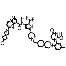 Cc1ccc(N2CCC3(CCC(CN4CCC(n5cc(NC(=O)c6cnn7ccc(N8CC9(CC(=O)C9)C8)nc67)c(C(F)F)n5)CC4)CC3)CC2)c(N2CCC(=O)NC2=O)c1